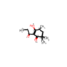 BCC(=O)C1=C(O)C(C)CC(C)(C)C1=O